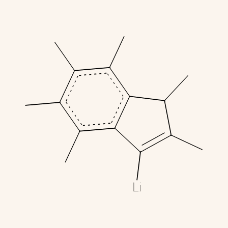 [Li][C]1=C(C)C(C)c2c(C)c(C)c(C)c(C)c21